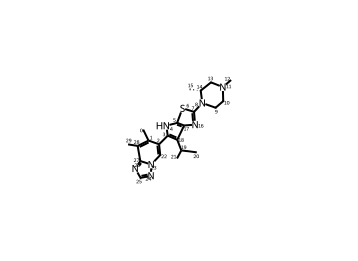 Cc1c(-c2[nH]c3sc(N4CCN(C)C[C@H]4C)nc3c2C(C)C)cn2ncnc2c1C